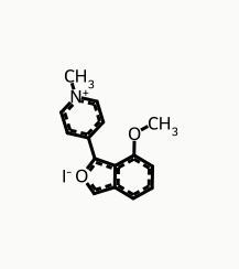 COc1cccc2coc(-c3cc[n+](C)cc3)c12.[I-]